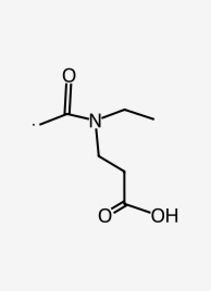 [CH2]C(=O)N(CC)CCC(=O)O